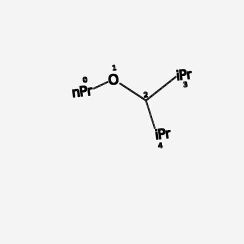 CCCOC(C(C)C)C(C)C